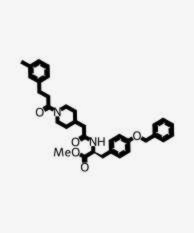 COC(=O)[C@H](Cc1ccc(OCc2ccccc2)cc1)NC(=O)CC1CCN(C(=O)CCc2cccc(C)c2)CC1